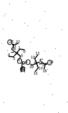 CCC(CC)(CO[PH](=O)OCC(CC)(CC)SC(C)=O)SC(C)=O